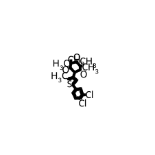 Cc1sc(-c2ccc(Cl)c(Cl)c2)cc1C1C(=O)C(C)(C)C(=O)C(C)(C)C1=O